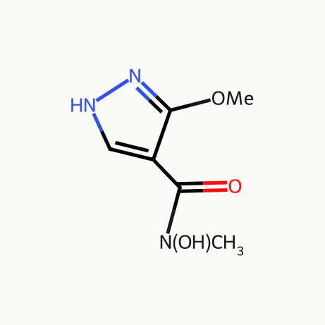 COc1n[nH]cc1C(=O)N(C)O